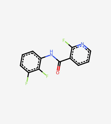 O=C(Nc1cccc(F)c1F)c1cccnc1F